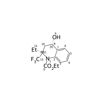 CCOC(=O)N1c2ccccc2[C@@H](O)C[C@]1(CC)C(F)(F)F